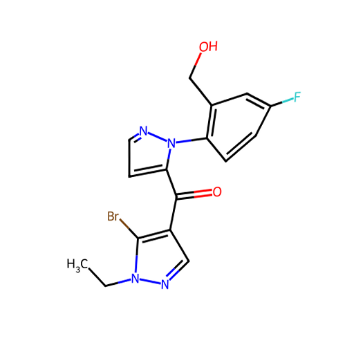 CCn1ncc(C(=O)c2ccnn2-c2ccc(F)cc2CO)c1Br